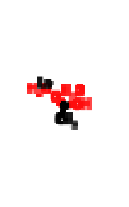 CC(=O)O.O.O.[La]